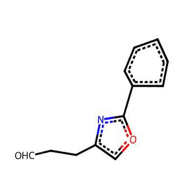 O=CCCc1coc(-c2ccccc2)n1